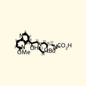 COc1ccc2nccc([C@H](O)CN3CCO[C@@H](CN(C(=O)O)C(C)(C)C)C3)c2n1